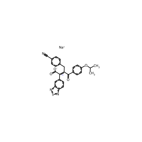 CC(C)Oc1ccc(C(=O)/C(Cc2ccc(C#N)cc2)=C(/C(=O)[O-])c2ccc3nsnc3c2)cc1.[Na+]